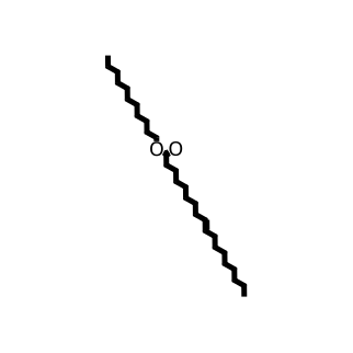 CCCCCCCC/C=C/CCCCCCCC(=O)OCCCCCCCCCCC